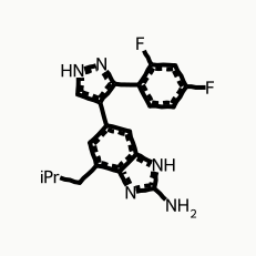 CC(C)Cc1cc(-c2c[nH]nc2-c2ccc(F)cc2F)cc2[nH]c(N)nc12